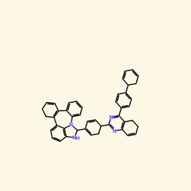 C1=CCC(c2ccc(-c3nc(C4C=CC(C5Nc6cccc7c6N5c5ccccc5C5=C7CCC=C5)=CC4)nc4c3CCC=C4)cc2)C=C1